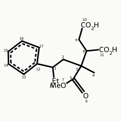 CCC(CC(C)(C(=O)OC)C(CC(=O)O)C(=O)O)c1ccccc1